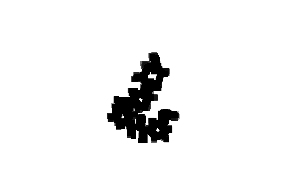 COc1cccc(NC(=O)Nc2cc(Nc3cccc(N4CCN(C)CC4)c3)ncn2)c1